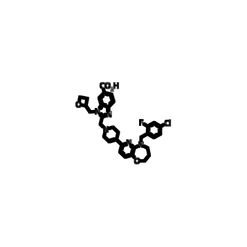 O=C(O)c1ccc2nc(CN3CC=C(c4ccc5c(n4)N(Cc4ccc(Cl)cc4F)CCCO5)CC3)n(CC3CCO3)c2c1